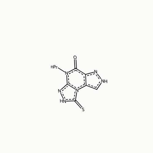 CCCn1c(=O)c2n[nH]cc2n2c(=S)[nH]nc12